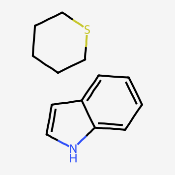 C1CCSCC1.c1ccc2[nH]ccc2c1